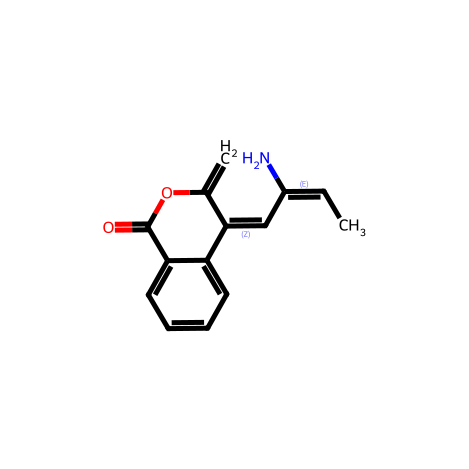 C=c1oc(=O)c2ccccc2/c1=C/C(N)=C\C